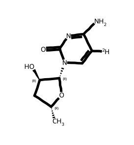 [2H]c1cn([C@@H]2O[C@H](C)C[C@H]2O)c(=O)nc1N